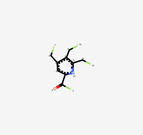 O=C(F)c1cc(CF)c(CF)c(CF)n1